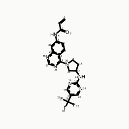 C=CC(=O)Nc1ccc2c(N3CCC(Nc4ncc(C(F)(F)F)cn4)C3)ncnc2c1